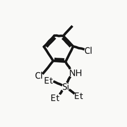 CC[Si](CC)(CC)Nc1c(Cl)ccc(C)c1Cl